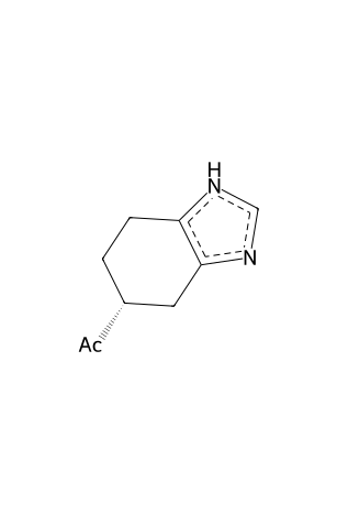 CC(=O)[C@@H]1CCc2[nH]cnc2C1